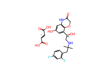 CC(C)(Cc1ccc(F)cc1F)NC[C@H](O)c1cc(O)cc2c1OCC(=O)N2.O=C(O)/C=C/C(=O)O